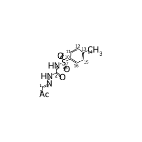 CC(=O)C=NNC(=O)NS(=O)(=O)c1ccc(C)cc1